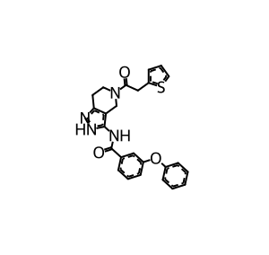 O=C(Nc1[nH]nc2c1CN(C(=O)Cc1cccs1)CC2)c1cccc(Oc2ccccc2)c1